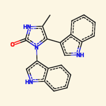 Cc1[nH]c(=O)n(-c2c[nH]c3ccccc23)c1-c1c[nH]c2ccccc12